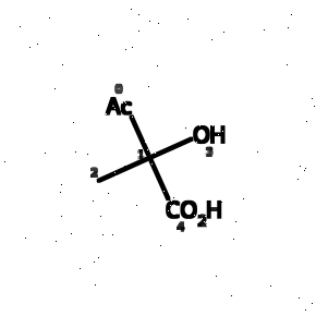 CC(=O)C(C)(O)C(=O)O